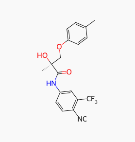 [C-]#[N+]c1ccc(NC(=O)[C@@](C)(O)COc2ccc(C)cc2)cc1C(F)(F)F